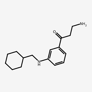 NCCC(=O)c1cccc(NCC2CCCCC2)c1